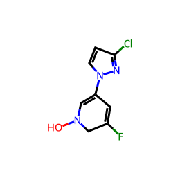 ON1C=C(n2ccc(Cl)n2)C=C(F)C1